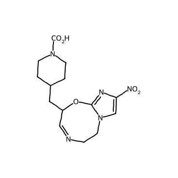 O=C(O)N1CCC(CC2C=NCCn3cc([N+](=O)[O-])nc3O2)CC1